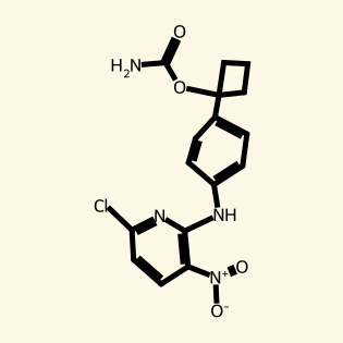 NC(=O)OC1(c2ccc(Nc3nc(Cl)ccc3[N+](=O)[O-])cc2)CCC1